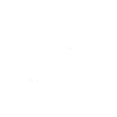 NC(=O)CCCCCN1C(=O)C=CC2OC21